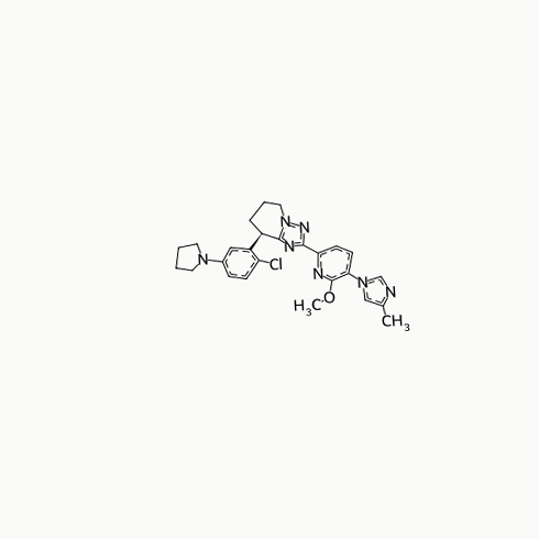 COc1nc(-c2nc3n(n2)CCC[C@@H]3c2cc(N3CCCC3)ccc2Cl)ccc1-n1cnc(C)c1